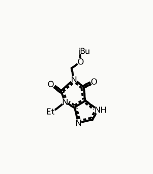 CCC(C)OCn1c(=O)c2[nH]cnc2n(CC)c1=O